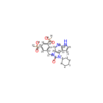 C[C@@H]1CCCC[C@@H]1n1c(=O)n(Cc2cc(S(C)(=O)=O)cc(S(C)(=O)=O)c2)c2cnc3[nH]ccc3c21